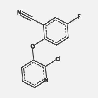 N#Cc1cc(F)ccc1Oc1cccnc1Cl